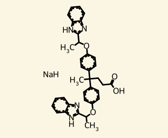 CC(Oc1ccc(C(C)(CCC(=O)O)c2ccc(OC(C)c3nc4ccccc4[nH]3)cc2)cc1)c1nc2ccccc2[nH]1.[NaH]